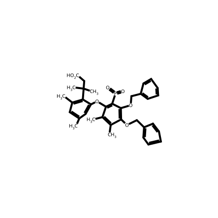 Cc1cc(C)c(C(C)(C)CC(=O)O)c(Oc2c(C)c(C)c(OCc3ccccc3)c(OCc3ccccc3)c2P(=O)=O)c1